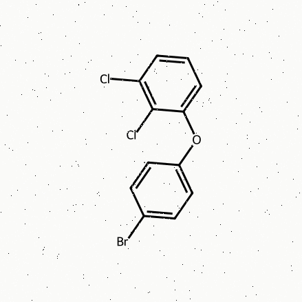 Clc1cccc(Oc2[c]cc(Br)cc2)c1Cl